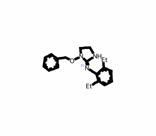 CCc1cccc(CC)c1/N=C1\NCCN1OCc1ccccc1